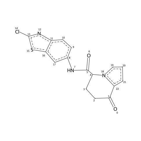 O=C1CCC(C(=O)Nc2ccc3nc(Cl)sc3c2)n2cccc21